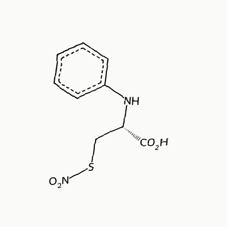 O=C(O)[C@H](CS[N+](=O)[O-])Nc1ccccc1